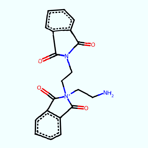 NCC[N+]1(CCN2C(=O)c3ccccc3C2=O)C(=O)c2ccccc2C1=O